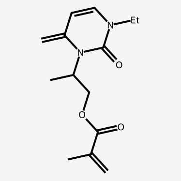 C=C(C)C(=O)OCC(C)N1C(=C)C=CN(CC)C1=O